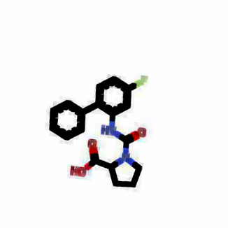 O=C(O)C1CCCN1C(=O)Nc1cc(F)ccc1-c1ccccc1